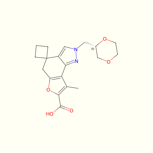 Cc1c(C(=O)O)oc2c1-c1nn(C[C@H]3COCCO3)cc1C1(CCC1)C2